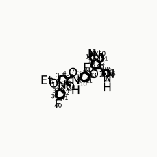 CCOc1ccc(C(=O)Nc2ccc(Oc3cc4cnn5ccc(c3-c3cn[nH]c3)c45)c(F)c2)c(=O)n1-c1ccc(F)cc1